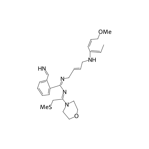 C/C=C(\C=C/COC)NC/C=C/C/N=C(\N=C(/CSC)N1CCOCC1)c1ccccc1C=N